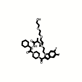 CNC(C)C(=O)N[C@H](C(=O)N1CCN(C(=O)c2cc3cc(F)c(F)cc3n2CCOCCOCCOCCO)CC1)C1CCCCC1